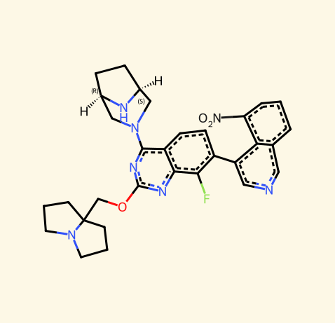 O=[N+]([O-])c1cccc2cncc(-c3ccc4c(N5C[C@H]6CC[C@@H](C5)N6)nc(OCC56CCCN5CCC6)nc4c3F)c12